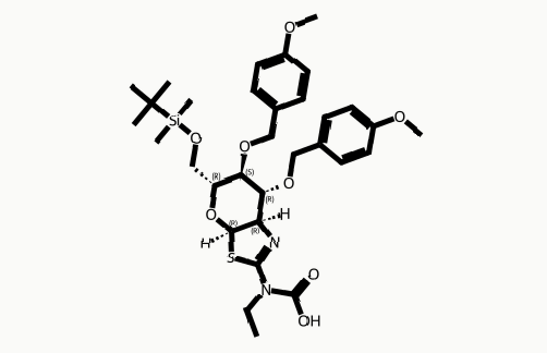 CCN(C(=O)O)C1=N[C@@H]2[C@@H](OCc3ccc(OC)cc3)[C@H](OCc3ccc(OC)cc3)[C@@H](CO[Si](C)(C)C(C)(C)C)O[C@@H]2S1